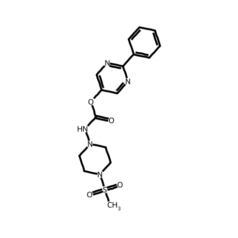 CS(=O)(=O)N1CCN(NC(=O)Oc2cnc(-c3ccccc3)nc2)CC1